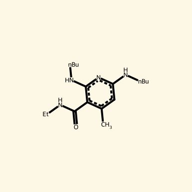 CCCCNc1cc(C)c(C(=O)NCC)c(NCCCC)n1